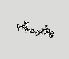 CS(=O)(=O)Oc1ccc(F)c2c1COC(c1csc(C3CCN(C(=S)Cn4nc(C(F)F)cc4C(F)F)CC3)n1)OC2